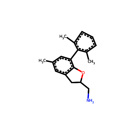 Cc1cc2c(c(-c3c(C)cccc3C)c1)OC(CN)C2